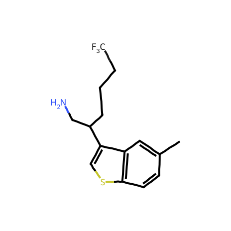 Cc1ccc2scc(C(CN)CCCC(F)(F)F)c2c1